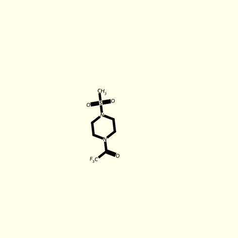 CS(=O)(=O)N1CCN(C(=O)C(F)(F)F)CC1